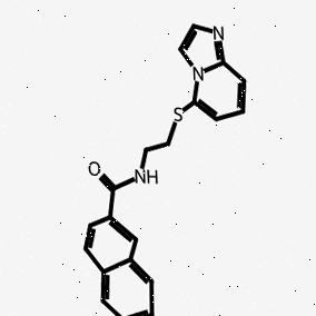 O=C(NCCSc1cccc2nccn12)c1ccc2ccccc2c1